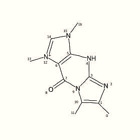 Cc1nc2[nH]c3c(c(=O)n2c1C)[n+](C)cn3C